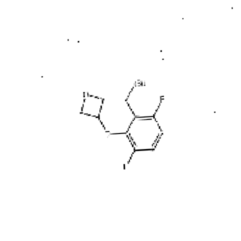 CC(C)(C)Cc1c(F)ccc(F)c1OC1COC1